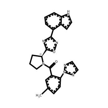 Cc1ccc(-n2nccn2)c(C(=O)N2CCC[C@H]2c2nc(-c3cccc4[nH]ccc34)no2)c1